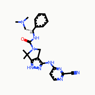 CN(C)C[C@@H](NC(=O)N1Cc2c(Nc3ccnc(C#N)n3)n[nH]c2C1(C)C)c1ccccc1